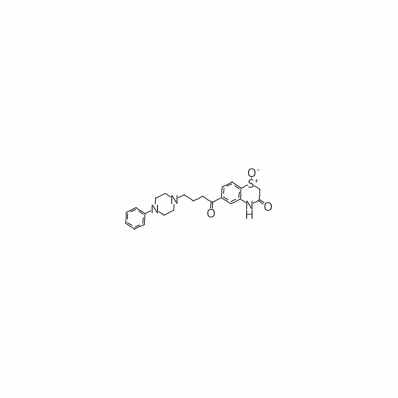 O=C1C[S+]([O-])c2ccc(C(=O)CCCN3CCN(c4ccccc4)CC3)cc2N1